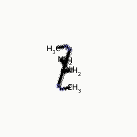 CCCCC/C=C\C/C=C\CCCCCCCCN(CCCCN(CCCCCCCC/C=C\C/C=C\CCCCC)CC(O)CN)CC(O)CN